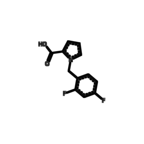 O=C(O)c1cccn1Cc1ccc(F)cc1F